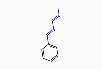 CN=C/N=C/c1ccccc1